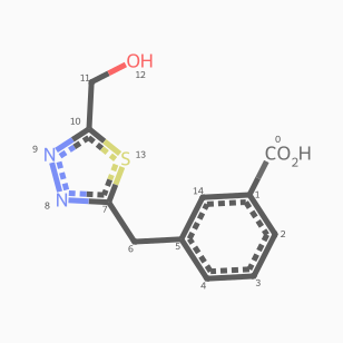 O=C(O)c1cccc(Cc2nnc(CO)s2)c1